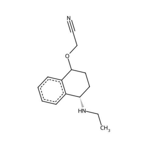 CCN[C@H]1CCC(OCC#N)c2ccccc21